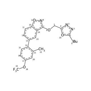 CCC(C)c1nnc(COc2noc3ccc(-c4ccc(OC(F)(F)F)cc4C)cc23)o1